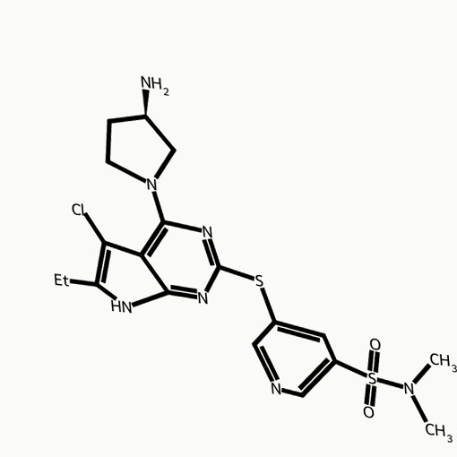 CCc1[nH]c2nc(Sc3cncc(S(=O)(=O)N(C)C)c3)nc(N3CC[C@@H](N)C3)c2c1Cl